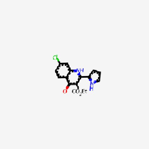 CCOC(=O)c1c(-c2ccc[nH]2)[nH]c2cc(Cl)ccc2c1=O